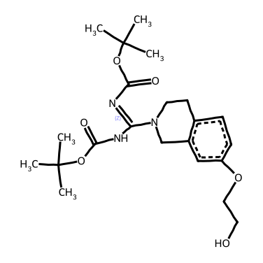 CC(C)(C)OC(=O)/N=C(/NC(=O)OC(C)(C)C)N1CCc2ccc(OCCO)cc2C1